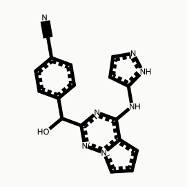 N#Cc1ccc(C(O)c2nc(Nc3ccn[nH]3)c3cccn3n2)cc1